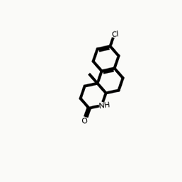 CC12CCC(=O)NC1CCC1=C2CC=C(Cl)C1